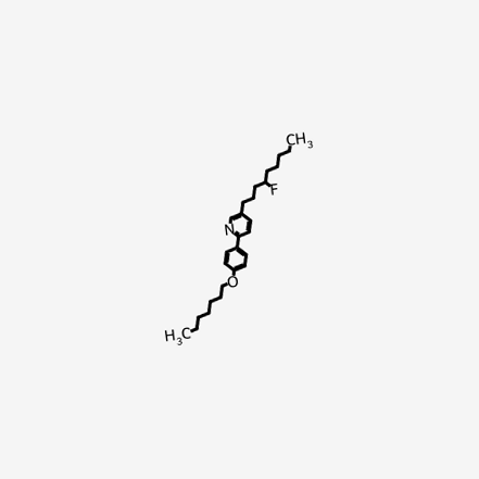 CCCCCCCOc1ccc(-c2ccc(CCCC(F)CCCCC)cn2)cc1